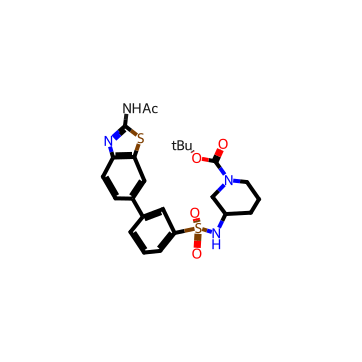 CC(=O)Nc1nc2ccc(-c3cccc(S(=O)(=O)NC4CCCN(C(=O)OC(C)(C)C)C4)c3)cc2s1